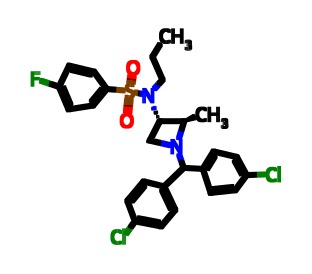 CCCN([C@H]1CN(C(c2ccc(Cl)cc2)c2ccc(Cl)cc2)[C@@H]1C)S(=O)(=O)c1ccc(F)cc1